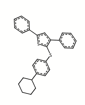 c1ccc(-c2cc(-c3ccccc3)c(Sc3ccc(C4CCCCC4)cc3)s2)cc1